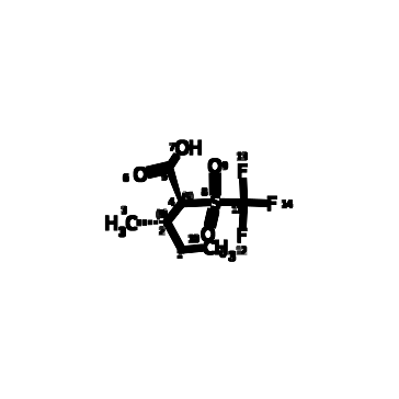 CC[C@H](C)[C@@H](C(=O)O)S(=O)(=O)C(F)(F)F